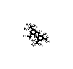 CC(c1cc(C(C)(C)C)cc(C(=O)O)c1O)c1cc(C(C)(C)C)cc(C(=O)O)c1O